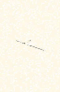 CCCCCCCC(=O)O[C@H](COP=O)COC(=O)CCCCCCCCCCN